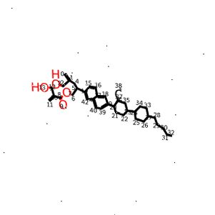 C=C(CO)CC(COC(=O)C(=C)CO)c1ccc2cc(C3CCC(C4CCC(CCCCC)CC4)CC3CC)ccc2c1